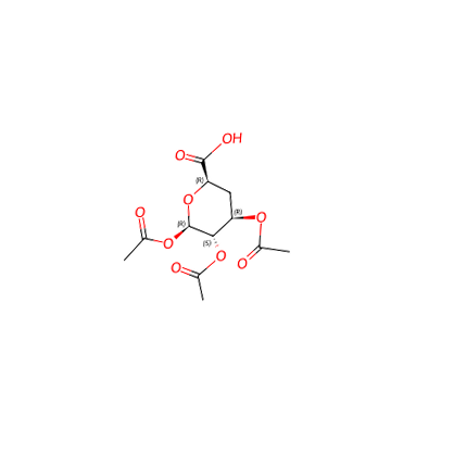 CC(=O)O[C@H]1O[C@@H](C(=O)O)C[C@@H](OC(C)=O)[C@@H]1OC(C)=O